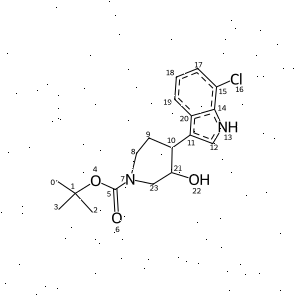 CC(C)(C)OC(=O)N1CCC(c2c[nH]c3c(Cl)cccc23)C(O)C1